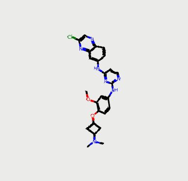 COc1cc(Nc2nccc(Nc3ccc4ncc(Cl)nc4c3)n2)ccc1OC1CC(N(C)C)C1